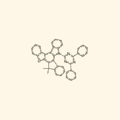 CC1(C)c2ccccc2-c2c1c1oc3ccccc3c1c1c3ccccc3n(-c3nc(-c4ccccc4)nc(-c4ccccc4)n3)c21